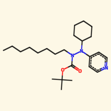 CCCCCCCCN(C(=O)OC(C)(C)C)N(c1ccncc1)C1CCCCC1